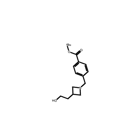 CC(C)(C)OC(=O)c1ccc(CN2CC(CCO)C2)cc1